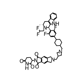 C[C@@H]1Cc2c([nH]c3ccccc23)[C@@H](c2c(F)cc(C3CCC(CN4CC(CN5Cc6cc7c(cc6C5)C(=O)N(C5CCC(=O)NC5=O)C7=O)C4)CC3)cc2F)N1CC(F)F